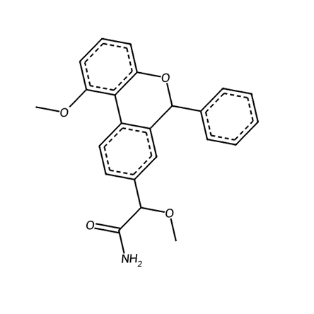 COc1cccc2c1-c1ccc(C(OC)C(N)=O)cc1C(c1ccccc1)O2